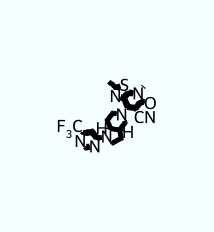 Cc1nc2c(N3CC[C@H]4[C@H](CCN4c4cc(C(F)(F)F)ncn4)C3)c(C#N)c(=O)n(C)c2s1